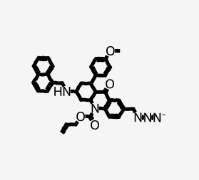 C=CCOC(=O)N1c2ccc(CN=[N+]=[N-])cc2C(=O)C2C(c3ccc(OC)cc3)CC(NCc3cccc4ccccc34)CC21